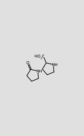 O=C(O)C1CCCN1.O=C1CCCN1